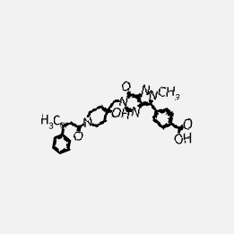 C[C@H](CC(=O)N1CCC(O)(Cn2cnc3c(-c4ccc(C(=O)O)cc4)n(C)nc3c2=O)CC1)c1ccccc1